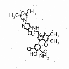 Cc1nc2c(c(-c3cc(Cl)c(O)c(C(N)=O)c3)cn2CC(=O)Nc2cc(N3C[C@@H](C)O[C@@H](C)C3)ncc2Cl)c(=O)n1C